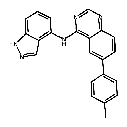 Cc1ccc(-c2ccc3ncnc(Nc4cccc5[nH]ncc45)c3c2)cc1